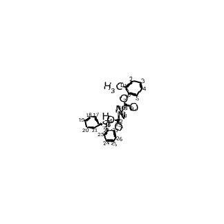 Cc1ccccc1OC(=O)N=NC(=O)O[SiH](c1ccccc1)c1ccccc1